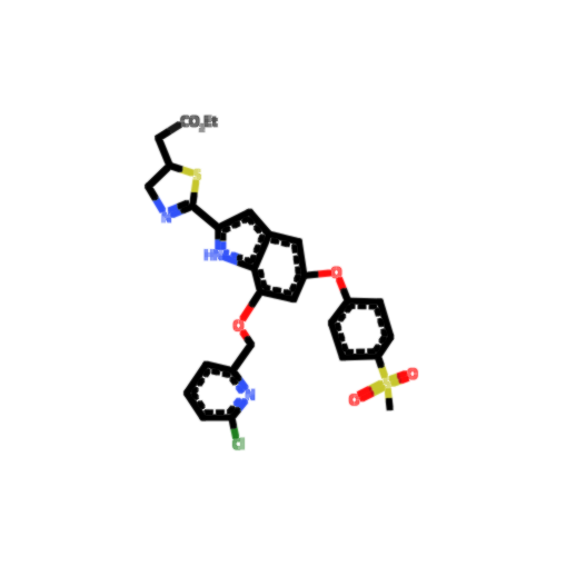 CCOC(=O)CC1CN=C(c2cc3cc(Oc4ccc(S(C)(=O)=O)cc4)cc(OCc4cccc(Cl)n4)c3[nH]2)S1